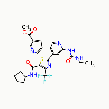 CCNC(=O)Nc1cc(-c2nc(C(F)(F)F)c(C(=O)NC3CCCC3)s2)c(-c2cncc(C(=O)OC)c2)cn1